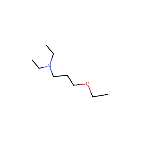 [CH2]COCCCN(CC)CC